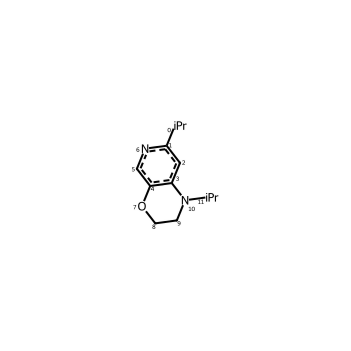 CC(C)c1cc2c(cn1)OCCN2C(C)C